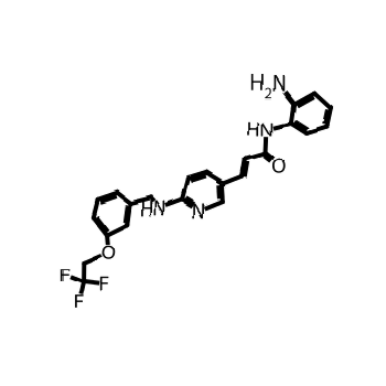 Nc1ccccc1NC(=O)C=Cc1ccc(NCc2cccc(OCC(F)(F)F)c2)nc1